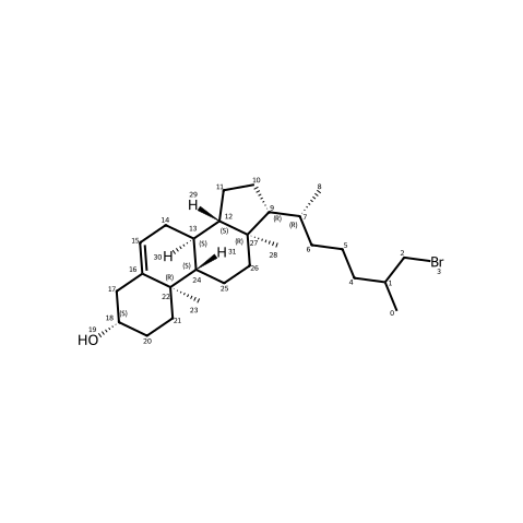 CC(CBr)CCC[C@@H](C)[C@H]1CC[C@H]2[C@@H]3CC=C4C[C@@H](O)CC[C@]4(C)[C@H]3CC[C@]12C